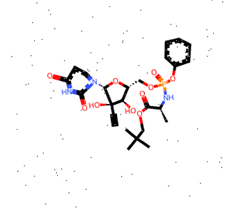 C#C[C@@]1(O)[C@H](O)[C@@H](COP(=O)(N[C@@H](C)C(=O)OCC(C)(C)C)Oc2ccccc2)O[C@H]1n1ccc(=O)[nH]c1=O